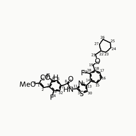 CO/C(=C/c1c(F)cc(C(=O)Nc2nc(-c3cccc(COCC4CCCCC4)c3F)cs2)cc1F)C(=O)O